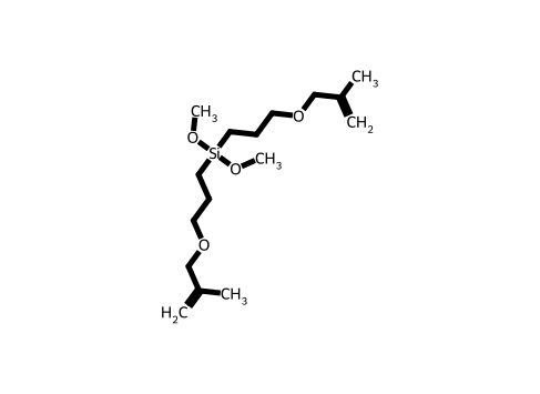 C=C(C)COCCC[Si](CCCOCC(=C)C)(OC)OC